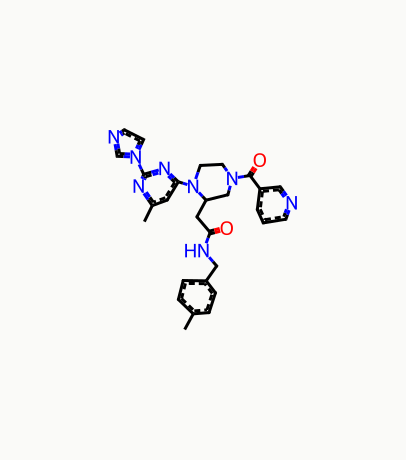 Cc1ccc(CNC(=O)CC2CN(C(=O)c3cccnc3)CCN2c2cc(C)nc(-n3ccnc3)n2)cc1